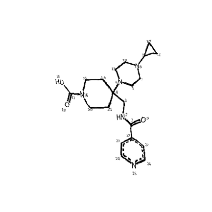 O=C(NCC1(N2CCN(C3CC3)CC2)CCN(C(=O)O)CC1)c1ccncc1